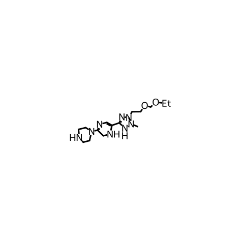 CCOCOCCN1N=C(C2=CN=C(N3CCNCC3)CN2)NN1C